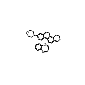 C1=COc2ccccc2N=C1.C1=c2ccc3c(c2CCC1)CC=c1cc(N2CCOCC2)ccc1=3